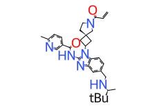 C=CC(=O)N1CC[C@]2(C1)C[C@H](n1c(NC(=O)c3ccc(C)nc3)nc3cc(CN[C@@H](C)C(C)(C)C)ccc31)C2